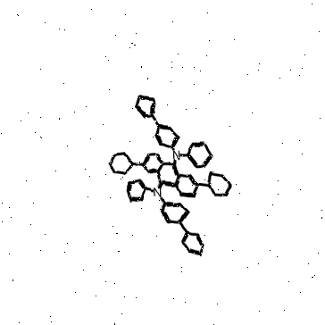 c1ccc(-c2ccc(N(c3ccccc3)c3c4ccc(C5CCCCC5)cc4c(N(c4ccccc4)c4ccc(-c5ccccc5)cc4)c4ccc(C5CCCCC5)cc34)cc2)cc1